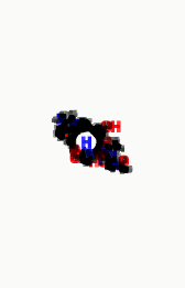 C=CC(=O)N1CCC(O)(C(=O)N(C)[C@H](C(=O)N[C@H]2Cc3cc(O)cc(c3)-c3ccc4c(c3)c(c(-c3ccccc3CN(C)C)n4CC)CC(C)(C)COC(=O)[C@@H]3CCCN(N3)C2=O)C(C)C)C1